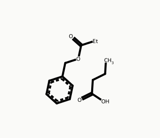 CCC(=O)OCc1ccccc1.CCCC(=O)O